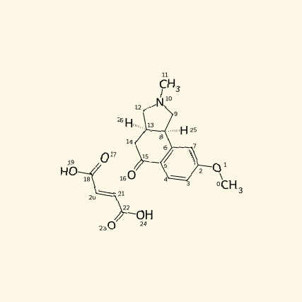 COc1ccc2c(c1)[C@@H]1CN(C)C[C@@H]1CC2=O.O=C(O)C=CC(=O)O